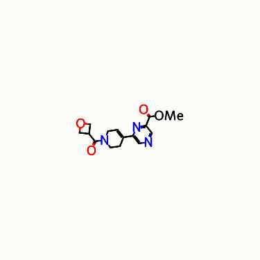 COC(=O)c1cncc(C2=CCN(C(=O)C3COC3)CC2)n1